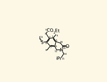 CCOC(=O)Cc1c(C)c2c(c(C)c1SI)CN(CC(C)C)C(=O)C2